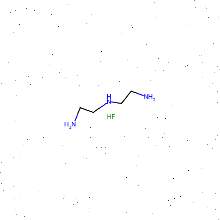 F.NCCNCCN